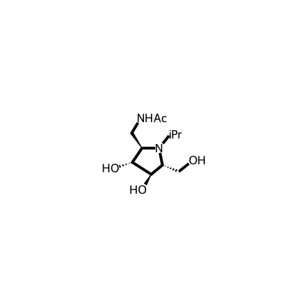 CC(=O)NC[C@@H]1[C@@H](O)[C@H](O)[C@@H](CO)N1C(C)C